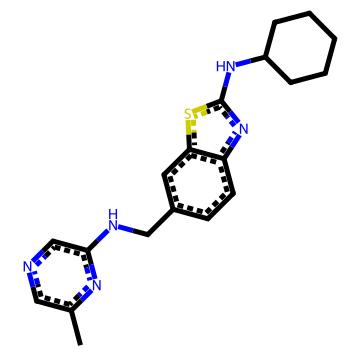 Cc1cncc(NCc2ccc3nc(NC4CCCCC4)sc3c2)n1